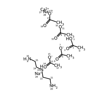 CC(=O)O.CC(=O)[O-].CC(=O)[O-].CC(=O)[O-].CC(=O)[O-].NCCNCCN.[Ca+2].[Na+].[Na+]